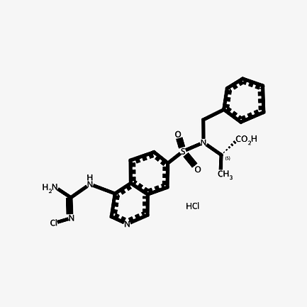 C[C@@H](C(=O)O)N(Cc1ccccc1)S(=O)(=O)c1ccc2c(NC(N)=NCl)cncc2c1.Cl